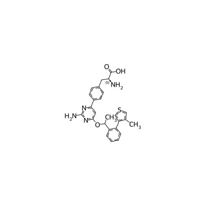 Cc1cscc1-c1ccccc1C(C)Oc1cc(-c2ccc(C[C@H](N)C(=O)O)cc2)nc(N)n1